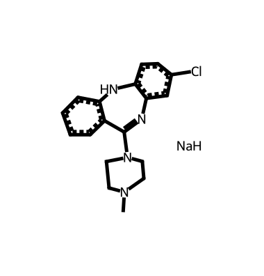 CN1CCN(C2=Nc3cc(Cl)ccc3Nc3ccccc32)CC1.[NaH]